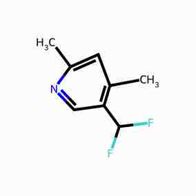 Cc1cc(C)c(C(F)F)cn1